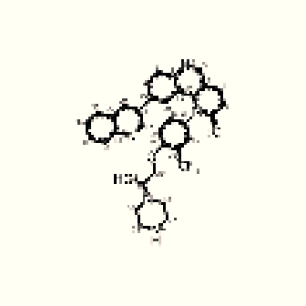 O=c1ccc2cnc3ccc(-c4cnc5ccccc5c4)cc3c2n1-c1ccc(OCC(O)N2CCNCC2)c(C(F)(F)F)c1